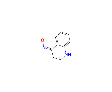 O/N=C1/CCNc2ccccc21